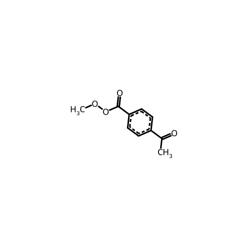 COOC(=O)c1ccc(C(C)=O)cc1